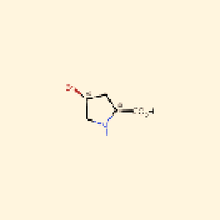 O=C(O)[C@@H]1C[C@H](Br)CN1